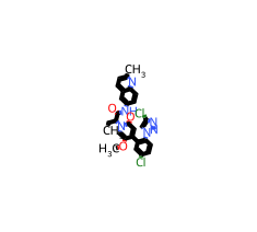 CCC(C(=O)Nc1ccc2nc(C)ccc2c1)n1cc(OC)c(-c2cc(Cl)ccc2-n2cc(Cl)nn2)cc1=O